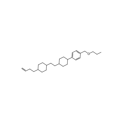 C=CCCC1CCC(CCC2CCC(c3ccc(COCCC)cc3)CC2)CC1